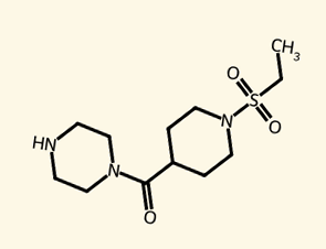 CCS(=O)(=O)N1CCC(C(=O)N2CCNCC2)CC1